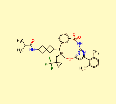 Cc1cccc(C)c1-c1cc2nc(n1)NS(=O)(=O)c1cccc(c1)C(C1CC3(CC(NC(=O)C(C)C)C3)C1)[C@H](CC1(C(F)(F)F)CC1)CO2